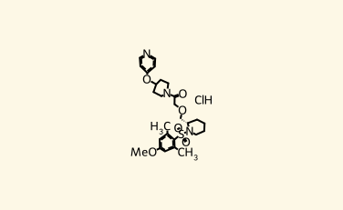 COc1cc(C)c(S(=O)(=O)N2CCCC[C@H]2COCC(=O)N2CCC(Oc3ccncc3)CC2)c(C)c1.Cl